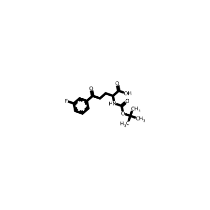 CC(C)(C)OC(=O)NC(CCC(=O)c1cccc(F)c1)C(=O)O